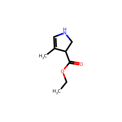 CCOC(=O)C1CNC=C1C